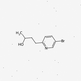 CC(O)CCc1ccc(Br)cn1